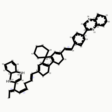 C/C=C(\C=C/C/C=C/C1=CC2=C(CC1)C1=C(C=C(/C=C/c3ccc(-c4cnc5ccccc5n4)cc3)CC1)C21CCCCC1)C1=CNC2C=CC=CC2N1